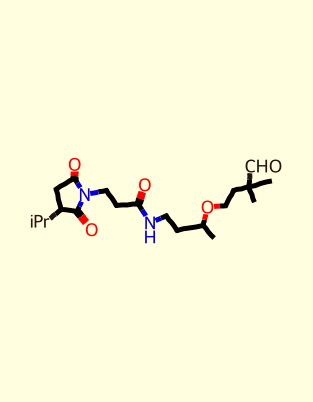 CC(CCNC(=O)CCN1C(=O)CC(C(C)C)C1=O)OCCC(C)(C)C=O